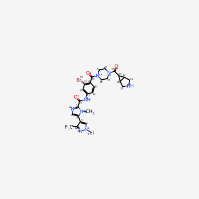 CCn1cc(-c2cnc(C(=O)Nc3ccc(C(=O)N4CCN(C(=O)C5C6CNCC65)CC4)c(Br)c3)n2C)c(C(F)(F)F)n1